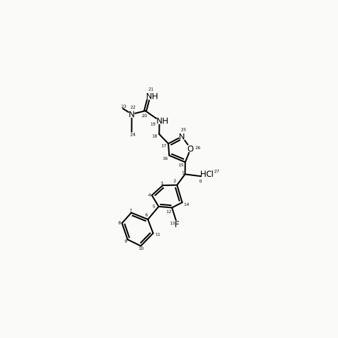 CC(c1ccc(-c2ccccc2)c(F)c1)c1cc(CNC(=N)N(C)C)no1.Cl